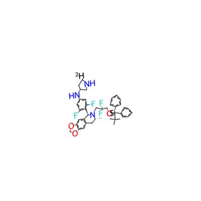 [2H]C1CC(Nc2cc(F)c([C@@H]3c4cc5c(cc4C[C@@H](C)N3CC(F)(F)CO[Si](c3ccccc3)(c3ccccc3)C(C)(C)C)OCO5)c(F)c2)CN1